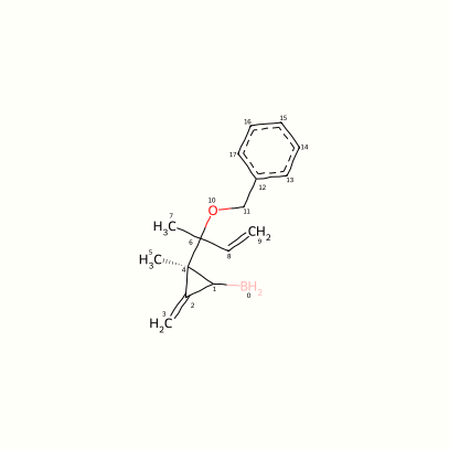 BC1C(=C)[C@@]1(C)C(C)(C=C)OCc1ccccc1